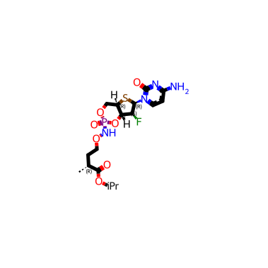 CC(C)OC(=O)[C@H](C)CCONP1(=O)OC[C@H]2S[C@@H](n3ccc(N)nc3=O)[C@@H](F)[C@@H]2O1